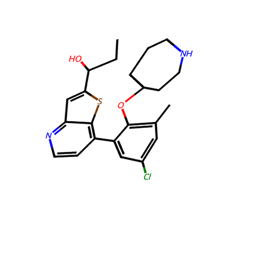 CCC(O)c1cc2nccc(-c3cc(Cl)cc(C)c3OC3CCCNCC3)c2s1